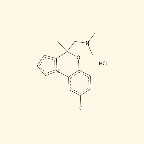 CN(C)CC1(C)Oc2ccc(Cl)cc2-n2cccc21.Cl